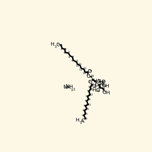 CCCCCCCCCCCCCCCC(=O)OC[C@H](COC(C(O)CO)P(=O)(O)O)OC(=O)CCCCCCCCCCCCCCC.N.N